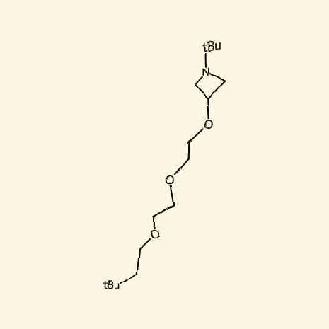 CC(C)(C)CCOCCOCCOC1CN(C(C)(C)C)C1